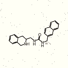 C[C@H](NC(=O)NCC1Cc2ccccc2CN1)c1ccc2ccccc2c1